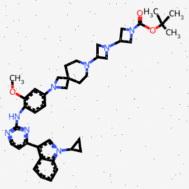 COc1cc(N2CC3(CCN(C4CN(C5CN(C(=O)OC(C)(C)C)C5)C4)CC3)C2)ccc1Nc1nccc(-c2cn(C3CC3)c3ccccc23)n1